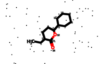 CCC1CCC(C2CCCCC2)OC1=O